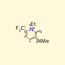 C=C1C(NC)=CC=C(C(F)(F)F)N1CC